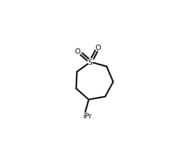 CC(C)C1CCCS(=O)(=O)CC1